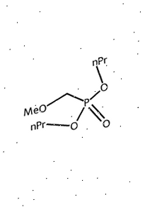 CCCOP(=O)(COC)OCCC